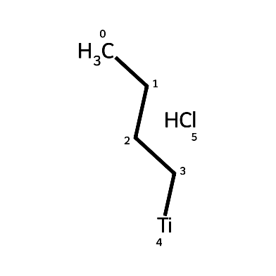 CCC[CH2][Ti].Cl